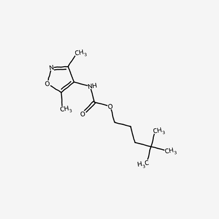 Cc1noc(C)c1NC(=O)OCCCC(C)(C)C